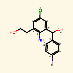 Nc1c(CCO)cc(Cl)cc1C(O)c1ccc(I)cc1